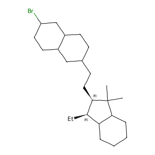 CC[C@@H]1C2CCCCC2C(C)(C)[C@@H]1CCC1CCC2CC(Br)CCC2C1